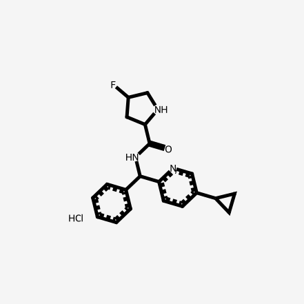 Cl.O=C(NC(c1ccccc1)c1ccc(C2CC2)cn1)C1CC(F)CN1